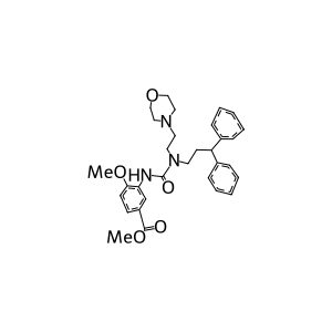 COC(=O)c1ccc(OC)c(NC(=O)N(CCC(c2ccccc2)c2ccccc2)CCN2CCOCC2)c1